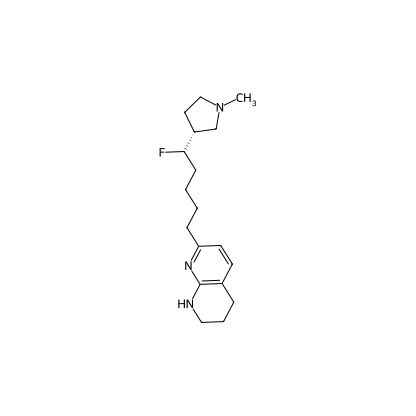 CN1CC[C@@H](C(F)CCCCc2ccc3c(n2)NCCC3)C1